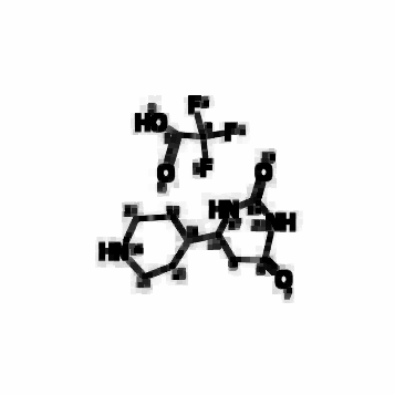 O=C(O)C(F)(F)F.O=C1CC(C2CCNCC2)NC(=O)N1